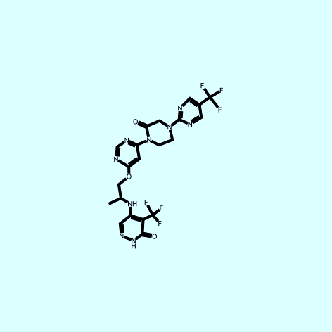 CC(COc1cc(N2CCN(c3ncc(C(F)(F)F)cn3)CC2=O)ncn1)Nc1cn[nH]c(=O)c1C(F)(F)F